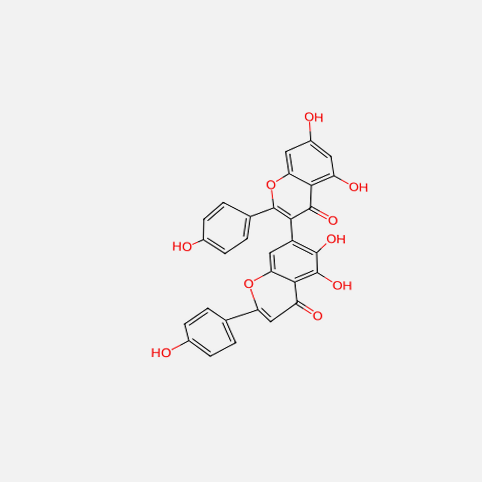 O=c1cc(-c2ccc(O)cc2)oc2cc(-c3c(-c4ccc(O)cc4)oc4cc(O)cc(O)c4c3=O)c(O)c(O)c12